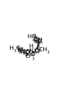 Cc1ccc(C(=O)Nc2ccc(CN3CCN(C)CC3)c(C(F)(F)F)c2)cc1C#Cc1cnc2cc(O)ccn12